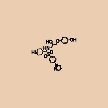 O=S(=O)(c1ccc(-n2cccn2)cc1)C(NCC(O)COc1ccc(O)cc1)C1CCNCC1